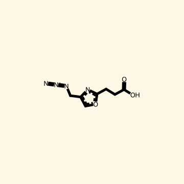 [N-]=[N+]=NCc1coc(CCC(=O)O)n1